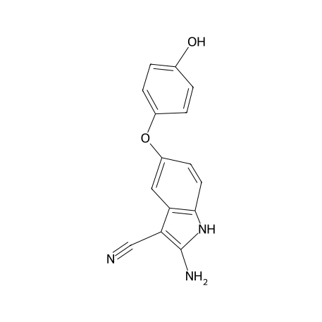 N#Cc1c(N)[nH]c2ccc(Oc3ccc(O)cc3)cc12